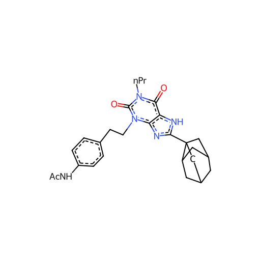 CCCn1c(=O)c2[nH]c(C34CC5CC(CC3C5)C4)nc2n(CCc2ccc(NC(C)=O)cc2)c1=O